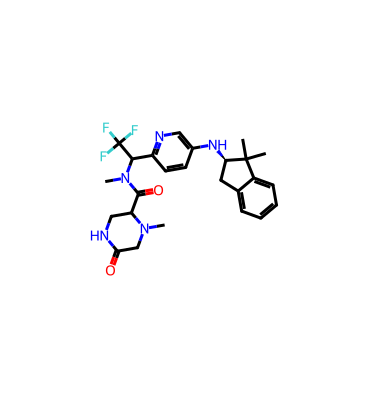 CN1CC(=O)NCC1C(=O)N(C)C(c1ccc(N[C@@H]2Cc3ccccc3C2(C)C)cn1)C(F)(F)F